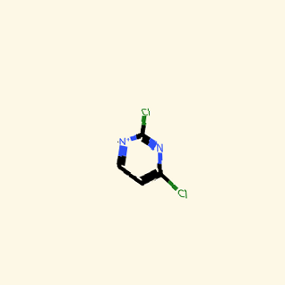 ClC1=CC=[N+]C(Cl)=N1